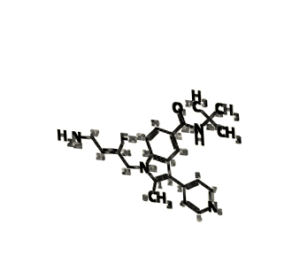 Cc1c(-c2ccncc2)c2cc(C(=O)NC(C)(C)C)ccc2n1CC(F)=CCN